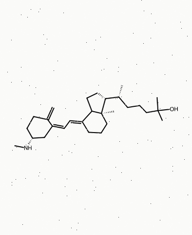 C=C1CC[C@@H](NC)C/C1=C/C=C1\CCC[C@@]2(C)C1CC[C@@H]2[C@H](C)CCCC(C)(C)O